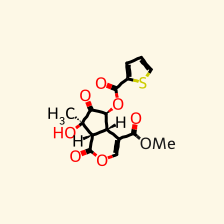 COC(=O)C1=COC(=O)[C@H]2[C@@H]1[C@H](OC(=O)c1cccs1)C(=O)[C@]2(C)O